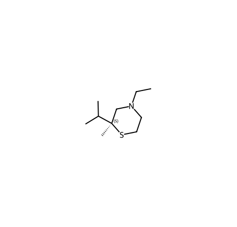 CCN1CCS[C@@](C)(C(C)C)C1